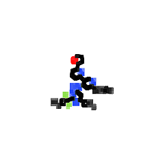 CC(=O)Nc1cc(Nc2cc(C)nc(C(C)(F)F)n2)c(-c2cccc(C3CCCO3)n2)cn1